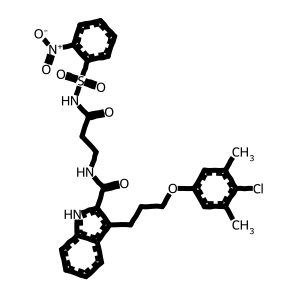 Cc1cc(OCCCc2c(C(=O)NCCC(=O)NS(=O)(=O)c3ccccc3[N+](=O)[O-])[nH]c3ccccc23)cc(C)c1Cl